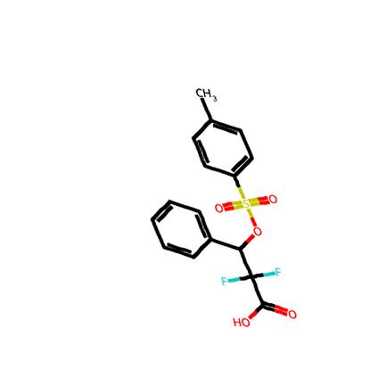 Cc1ccc(S(=O)(=O)OC(c2ccccc2)C(F)(F)C(=O)O)cc1